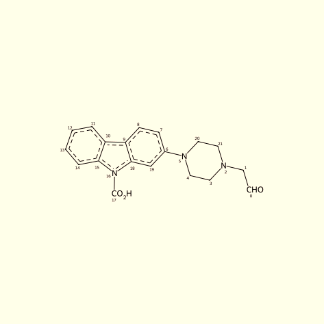 O=CCN1CCN(c2ccc3c4ccccc4n(C(=O)O)c3c2)CC1